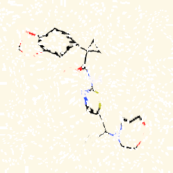 CC(C)(C)C(c1cnc(NC(=O)C2(c3ccc4c(c3)OCO4)CC2)s1)N1CCOCC1